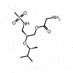 CC(C)[C@H](C)O[C@@H](CNS(C)(=O)=O)COC(=O)CN